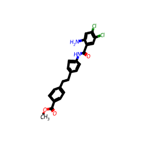 COC(=O)c1ccc(CCc2ccc(NC(=O)c3cc(Cl)c(Cl)cc3N)cc2)cc1